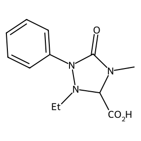 CCN1C(C(=O)O)N(C)C(=O)N1c1ccccc1